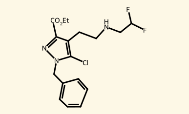 CCOC(=O)c1nn(Cc2ccccc2)c(Cl)c1CCNCC(F)F